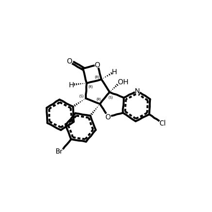 O=C1O[C@@H]2[C@H]1[C@@H](c1ccccc1)[C@]1(c3ccc(Br)cc3)Oc3cc(Cl)cnc3[C@]21O